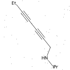 CCC#CC#CCNC(C)C